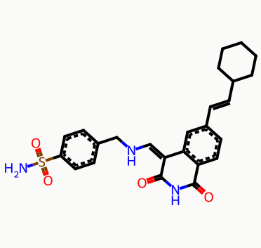 NS(=O)(=O)c1ccc(CN/C=C2\C(=O)NC(=O)c3ccc(/C=C/C4CCCCC4)cc32)cc1